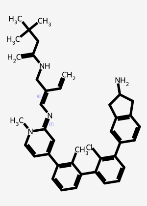 C=C/C(=C\N=c1\cc(-c2cccc(-c3cccc(-c4ccc5c(c4)CC(N)C5)c3Cl)c2C)ccn1C)CNC(=C)CC(C)(C)C